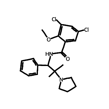 COc1c(Cl)cc(Cl)cc1C(=O)NC(c1ccccc1)C(C)(C)N1CCCC1